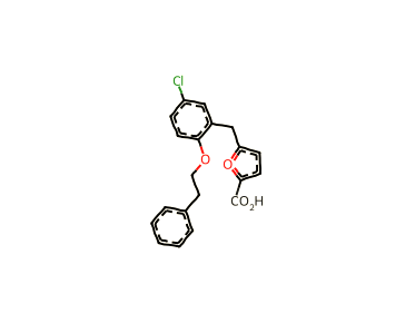 O=C(O)c1ccc(Cc2cc(Cl)ccc2OCCc2ccccc2)o1